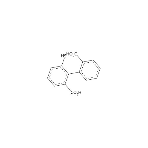 O=C(O)c1ccccc1-c1c(S)cccc1C(=O)O